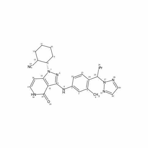 Cc1cc(Nc2nn([C@H]3CCCCC3C#N)c3cc[nH]c(=O)c23)ccc1C(C(C)C)n1nccn1